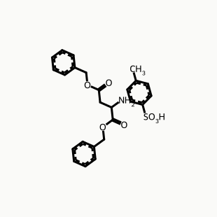 Cc1ccc(S(=O)(=O)O)cc1.NC(CC(=O)OCc1ccccc1)C(=O)OCc1ccccc1